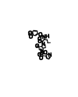 CCCC(NC(=O)Oc1ccc2c(c1)OCO2)C(=O)N1CCC2C1C(=O)CN2S(=O)(=O)C(=O)c1cccnc1